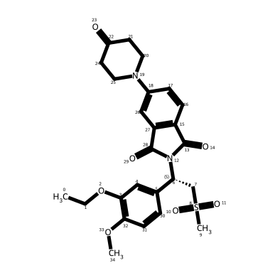 CCOc1cc([C@@H](CS(C)(=O)=O)N2C(=O)c3ccc(N4CCC(=O)CC4)cc3C2=O)ccc1OC